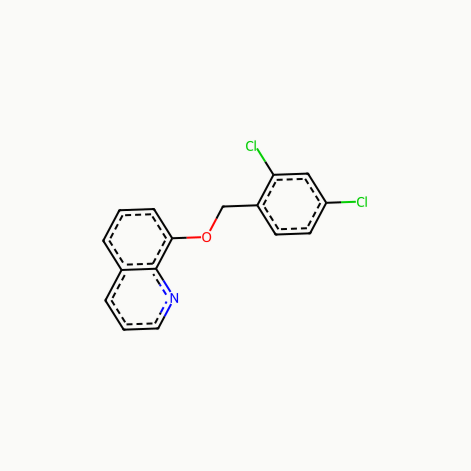 Clc1ccc(COc2cccc3cccnc23)c(Cl)c1